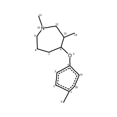 Cc1ccc(OC2CCCN(C)CC2C)cc1